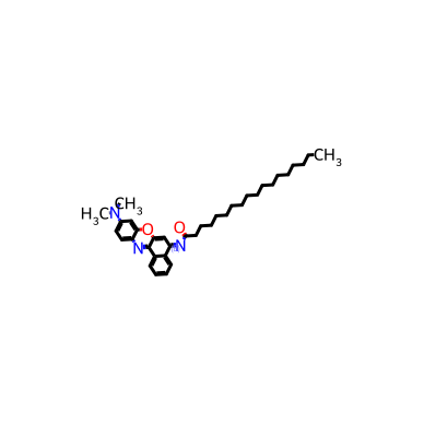 CCCCCCCCCCCCCCCCCC(=O)/N=c1\cc2oc3cc(N(C)C)ccc3nc-2c2ccccc12